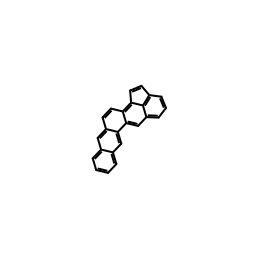 C1=Cc2c3ccc4cc5ccccc5cc4c3cc3cccc1c23